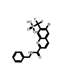 O=C(NCc1ccccc1)c1ccc2cc(Br)c(C(F)(F)P(=O)(O)O)cc2n1